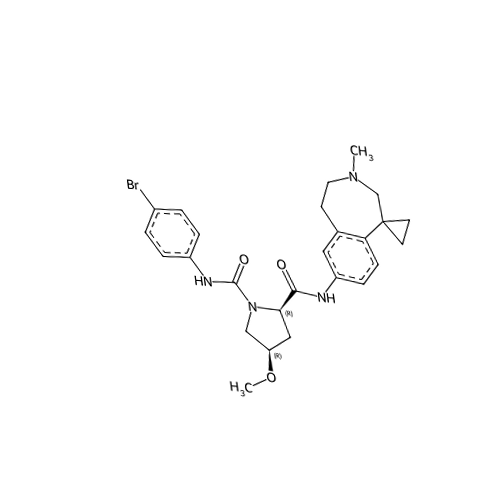 CO[C@@H]1C[C@H](C(=O)Nc2ccc3c(c2)CCN(C)CC32CC2)N(C(=O)Nc2ccc(Br)cc2)C1